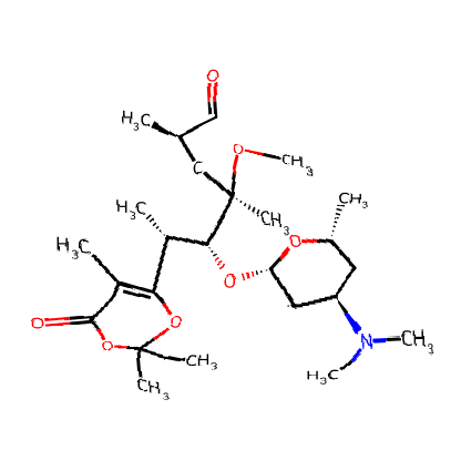 CO[C@](C)(C[C@@H](C)C=O)[C@H](O[C@H]1[CH][C@H](N(C)C)C[C@@H](C)O1)[C@@H](C)C1=C(C)C(=O)OC(C)(C)O1